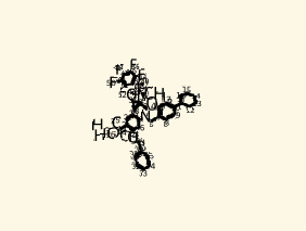 CN(C1(C(=O)N(Cc2ccc(C3CCCCC3)cc2)c2ccc(C(C)(C)O)c(OCc3ccccc3)c2)CC1)S(=O)(=O)c1c(F)c(F)c(F)c(F)c1F